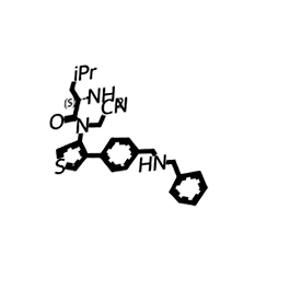 CC(C)C[C@H](N)C(=O)N(CC#N)c1cscc1-c1ccc(CNCc2ccccc2)cc1